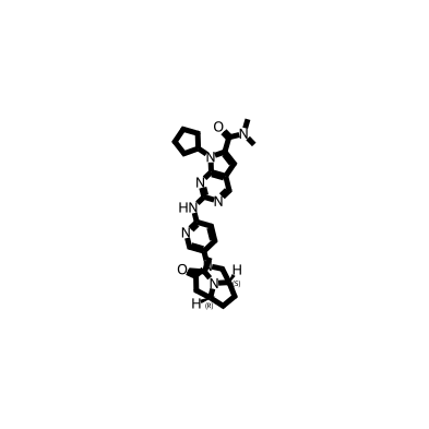 CC(C)N1[C@@H]2CC[C@H]1CN(c1ccc(Nc3ncc4cc(C(=O)N(C)C)n(C5CCCC5)c4n3)nc1)C(=O)C2